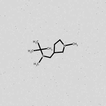 CN1CCC(CN(C)C(C)(C)C)C1